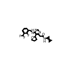 O=C(Cc1ncnc(NCc2cccc(C(F)F)c2F)c1C1CCCO1)NC1CC12CC2